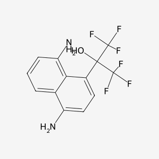 Nc1ccc(C(O)(C(F)(F)F)C(F)(F)F)c2c(N)cccc12